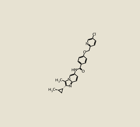 Cc1c([C@@H]2C[C@H]2C)nc2ccc(NC(=O)c3ccc(OCc4ccc(Cl)cn4)cc3)cn12